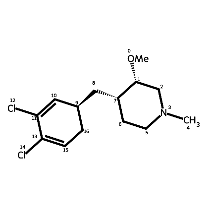 CO[C@@H]1CN(C)CC[C@@H]1C[C@@H]1C=C(Cl)C(Cl)=CC1